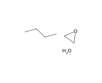 C1CO1.CCCC.O